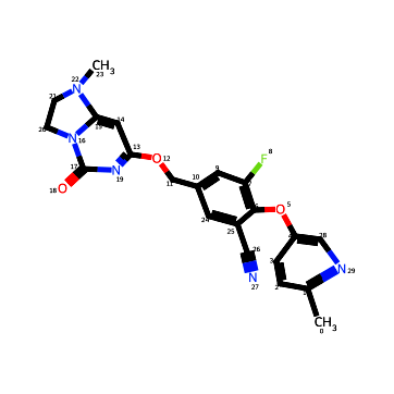 Cc1ccc(Oc2c(F)cc(COc3cc4n(c(=O)n3)CCN4C)cc2C#N)cn1